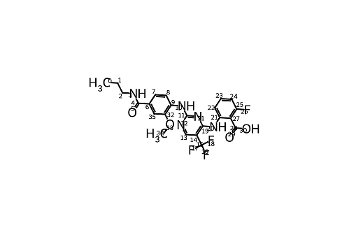 CCCNC(=O)c1ccc(Nc2ncc(C(F)(F)F)c(Nc3cccc(F)c3C(=O)O)n2)c(OC)c1